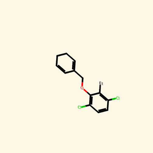 CCc1c(Cl)ccc(Cl)c1OCC1=CCCC=C1